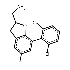 NCC1Cc2cc(F)cc(-c3c(Cl)cccc3Cl)c2O1